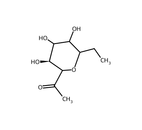 CCC1OC(C(C)=O)[C@@H](O)C(O)C1O